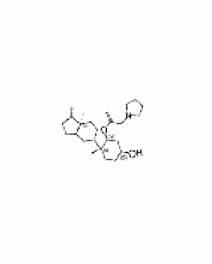 C=C(CN1CCCC1)O[C@H]1C[C@@H](O)CC[C@]1(C)C1CC[C@]2(C)C(=C)CCC2C1